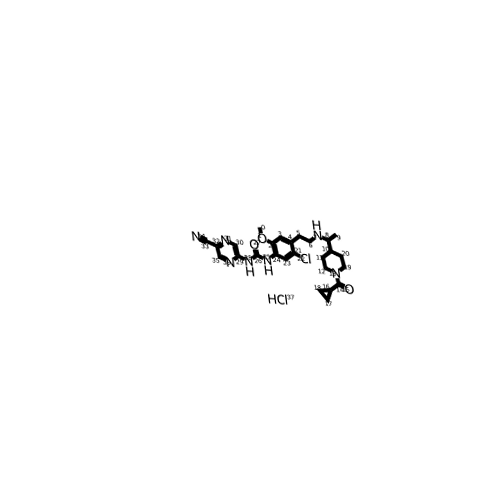 COc1cc(CCNC(C)C2CCN(C(=O)C3CC3)CC2)c(Cl)cc1NC(=O)Nc1cnc(C#N)cn1.Cl